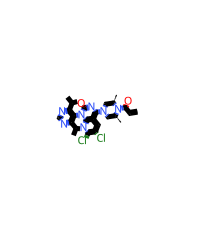 C=CC(=O)N1[C@H](C)CN(c2nc(=O)n(-c3c(C(C)C)ncnc3C(C)C)c3nc(Cl)c(Cl)cc23)C[C@@H]1C